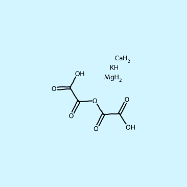 O=C(O)C(=O)OC(=O)C(=O)O.[CaH2].[KH].[MgH2]